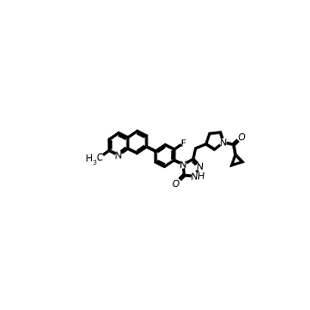 Cc1ccc2ccc(-c3ccc(-n4c(CC5CCN(C(=O)C6CC6)C5)n[nH]c4=O)c(F)c3)cc2n1